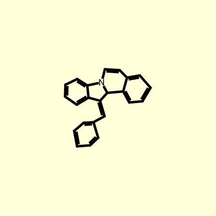 C1=CN2c3ccccc3C(=Cc3ccccc3)C2c2ccccc21